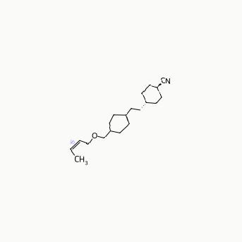 C/C=C\COCC1CCC(CC[C@H]2CC[C@H](C#N)CC2)CC1